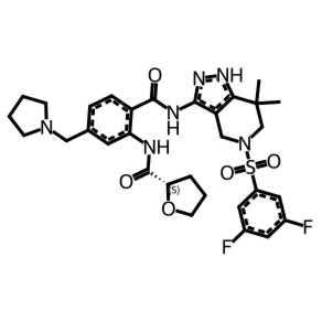 CC1(C)CN(S(=O)(=O)c2cc(F)cc(F)c2)Cc2c(NC(=O)c3ccc(CN4CCCC4)cc3NC(=O)[C@@H]3CCCO3)n[nH]c21